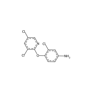 Nc1ccc(Oc2ncc(Cl)cc2Cl)c(Cl)c1